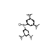 CN(C)c1cc(N(C)C)cc(P(Cl)c2cc(N(C)C)cc(N(C)C)c2)c1